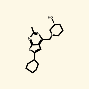 Cc1nc(CN2CCC[C@H](O)C2)c2cc(C3CCCCC3)sc2n1